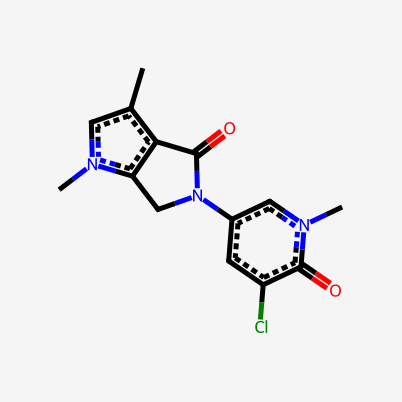 Cc1cn(C)c2c1C(=O)N(c1cc(Cl)c(=O)n(C)c1)C2